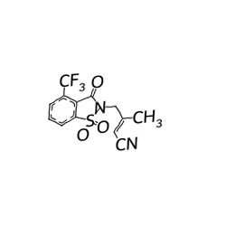 CC(=CC#N)CN1C(=O)c2c(C(F)(F)F)cccc2S1(=O)=O